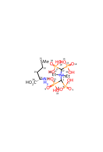 CC[N+](CC)(C(P(=O)(O)O)P(=O)(O)O)C(P(=O)(O)O)P(=O)(O)O.CSCC[C@H](N)C(=O)O